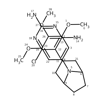 COc1cc(N2C3CCC2CC(c2c(N)nc(N)nc2Cl)C3)cc(OC)c1OC